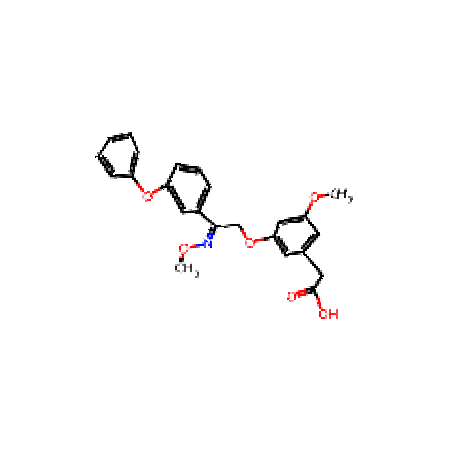 CON=C(COc1cc(CC(=O)O)cc(OC)c1)c1cccc(Oc2ccccc2)c1